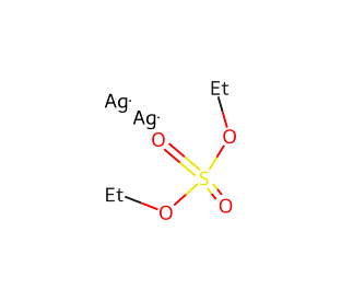 CCOS(=O)(=O)OCC.[Ag].[Ag]